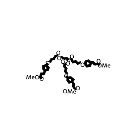 COC(=O)C=Cc1ccc(OCCCCC(=O)OCC(COC(=O)CCCCOc2ccc(C=CC(=O)OC)cc2)OC(=O)CCCCOc2ccc(C=CC(=O)OC)cc2)cc1